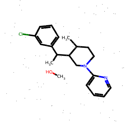 CC1CCN(c2ccccn2)CC1C(C)c1cccc(Cl)c1.CO